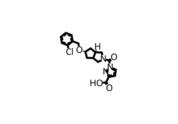 O=C(O)c1ccn(C(=O)N2CC3C[C@H](OCc4ccccc4Cl)C[C@H]3C2)n1